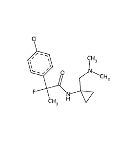 CN(C)CC1(NC(=O)C(C)(F)c2ccc(Cl)cc2)CC1